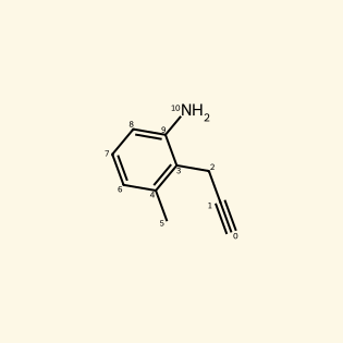 C#CCc1c(C)cccc1N